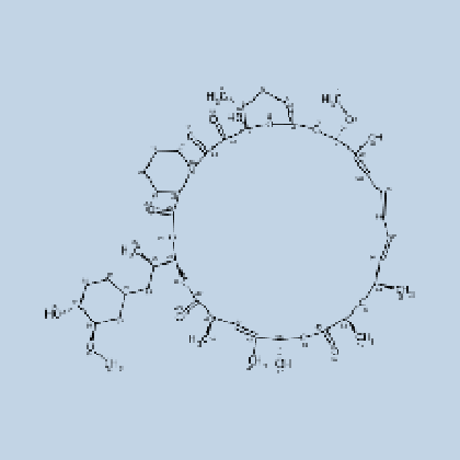 CO[C@H]1C[C@@H]2CC[C@@H](C)[C@@](O)(O2)C(=O)C(=O)N2CCCCC2C(=O)O[C@H]([C@H](C)CC2CC[C@@H](O)[C@H](OC)C2)CC(=O)[C@H](C)/C=C(\C)[C@@H](O)CC(=O)[C@H](C)C[C@H](C)/C=C/C=C/C=C/1C